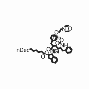 CCCCCCCCCCCCCCCC(=O)O[C@H]1Cc2ccccc2[C@@H]1NC(=O)C(Cc1ccc(OCCN2CCOCC2)cc1)CC(O)C(Cc1ccccc1)NC(=O)OC(C)(C)C